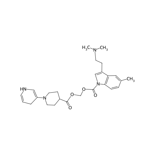 Cc1ccc2c(c1)c(CCN(C)C)cn2C(=O)OCOC(=O)C1CCN(C2=CNC=CC2)CC1